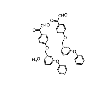 O.O=CC(=O)c1ccc(OCc2cccc(Oc3ccccc3)c2)cc1.O=CC(=O)c1ccc(OCc2cccc(Oc3ccccc3)c2)cc1